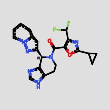 O=C(c1oc(C2CC2)nc1C(F)F)N1CCc2[nH]cnc2[C@H]1c1cc2ccccn2n1